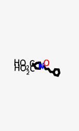 O=C(CCCC1CCCCC1)N1CCC(C(=O)O)(C(=O)O)CC1